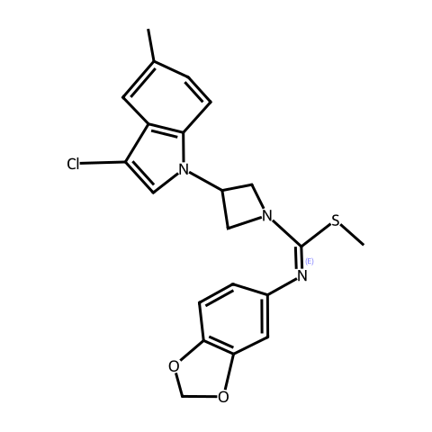 CS/C(=N/c1ccc2c(c1)OCO2)N1CC(n2cc(Cl)c3cc(C)ccc32)C1